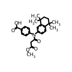 COC(=O)CC(=O)N(c1ccc(C(=O)O)cc1)c1ccc2c(c1)C(C)(C)CCC2(C)C